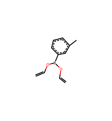 C=COB(OC=C)c1cccc(C)c1